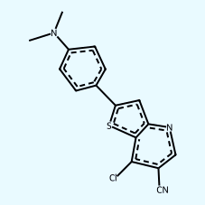 CN(C)c1ccc(-c2cc3ncc(C#N)c(Cl)c3s2)cc1